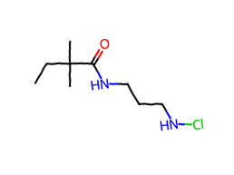 CCC(C)(C)C(=O)NCCCNCl